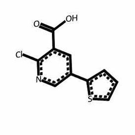 O=C(O)c1cc(-c2cccs2)cnc1Cl